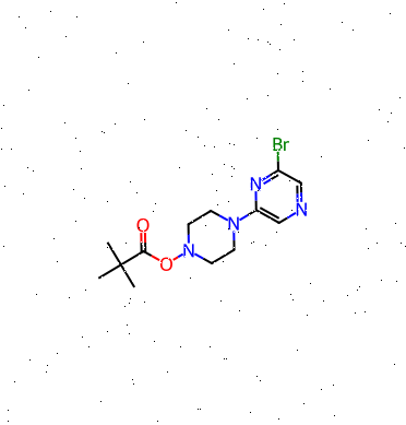 CC(C)(C)C(=O)ON1CCN(c2cncc(Br)n2)CC1